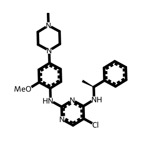 COc1cc(N2CCN(C)CC2)ccc1Nc1ncc(Cl)c(N[C@@H](C)c2ccccc2)n1